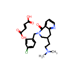 CN(C)CCC1Cc2ncccc2C(=O)N(Cc2ccc(Cl)cc2)C1.O=C(O)C=CC(=O)O